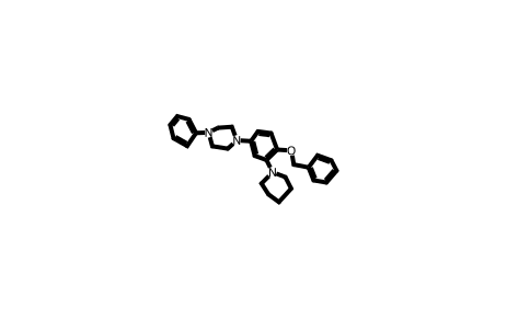 c1ccc(COc2ccc(N3CCN(c4ccccc4)CC3)cc2N2CCCCC2)cc1